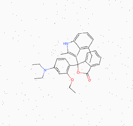 CCOc1cc(N(CC)CC)ccc1C1(c2c(C)[nH]c3cccc(CC)c23)OC(=O)c2ccccc21